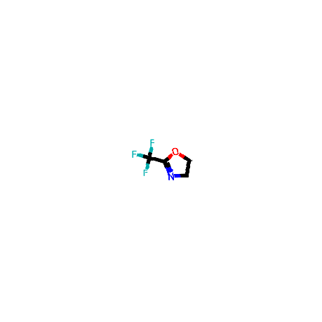 FC(F)(F)C1=NC[CH]O1